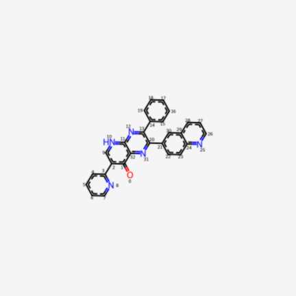 O=c1c(-c2ccccn2)c[nH]c2nc(-c3ccccc3)c(-c3ccc4ncccc4c3)nc12